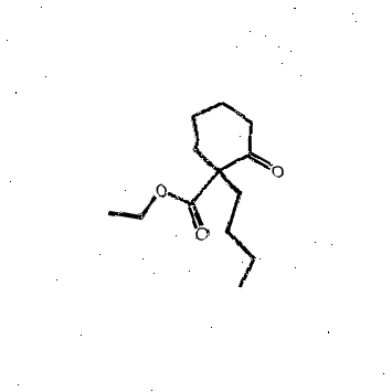 CCCCC1(C(=O)OCC)CCCCC1=O